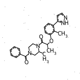 Cc1c(OC(C)C(=O)N2CCN(C(=O)c3ccccc3)CC2C)cccc1-c1ccn[nH]1